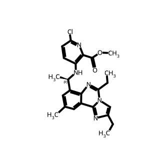 CCc1cn2c(CC)nc3c([C@@H](C)Nc4ccc(Cl)nc4C(=O)OC)cc(C)cc3c2n1